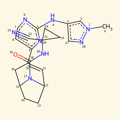 Cn1cc(Nc2nccc(C3=CC4CCC(C3)N4C(=O)NC3(C#N)CC3)n2)cn1